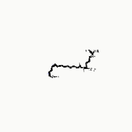 CCCCC/C=C\C/C=C\CCCCCCCC(=O)N[C@@H](CCCNC(=N)N)C(=O)O